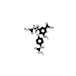 CC(=O)Nc1ccc(Oc2c(N)cc(C(=O)O)cc2S(=O)(=O)NC(C)=O)cc1